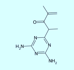 C=C(C)C(=O)C(C)c1nc(N)nc(N)n1